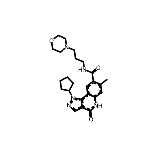 Cc1cc2[nH]c(=O)c3cnn(C4CCCC4)c3c2cc1C(=O)NCCCN1CCOCC1